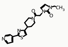 CCn1ccn(CC(=O)N2CCC(c3csc(-c4ccncc4)n3)CC2)c1=O